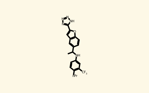 CCCc1ccc(NC(C)c2ccc3oc(-c4nnn[nH]4)cc3c2)cc1C(F)(F)F